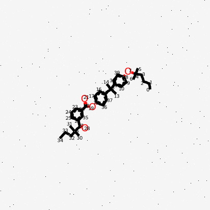 CCCCC(C)(C)Oc1ccc(C(C)(C)c2ccc(OC(=O)c3cccc(C(=O)C(C)(C)CCC)c3)cc2)cc1